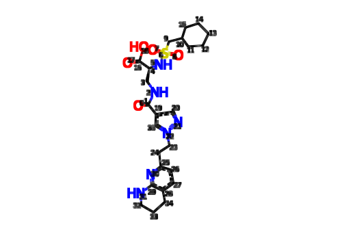 O=C(NC[C@H](NS(=O)(=O)CC1CCCCC1)C(=O)O)c1cnn(CCc2ccc3c(n2)NCCC3)c1